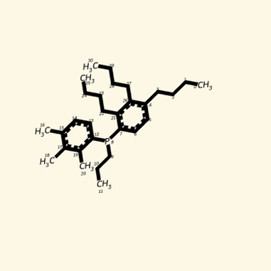 CCCCc1ccc(P(CCC)c2ccc(C)c(C)c2C)c(CCCC)c1CCCC